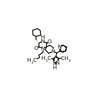 CCCCN1C(=O)[C@H](CC2CCCCC2)NC(=O)C12CCN(C(c1ccccn1)c1c(C)n[nH]c1C)CC2